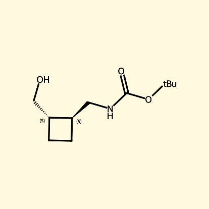 CC(C)(C)OC(=O)NC[C@H]1CC[C@@H]1CO